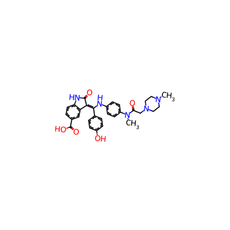 CN1CCN(CC(=O)N(C)c2ccc(N/C(=C3\C(=O)Nc4ccc(C(=O)O)cc43)c3ccc(O)cc3)cc2)CC1